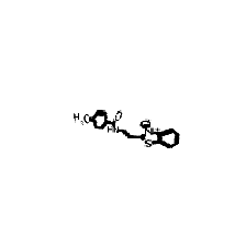 Cc1ccc(C(=O)NCCC2Sc3ccccc3[N+]2=O)cc1